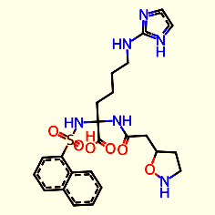 O=C(CC1CCNO1)NC(CCCCNc1ncc[nH]1)(NS(=O)(=O)c1cccc2ccccc12)C(=O)O